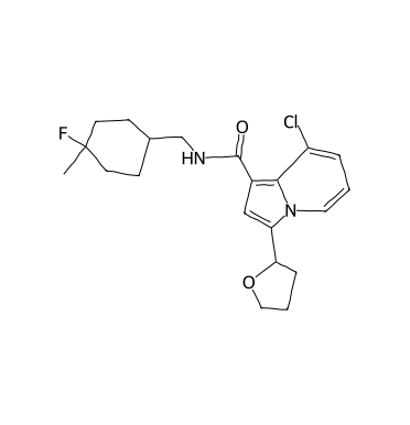 CC1(F)CCC(CNC(=O)c2cc(C3CCCO3)n3cccc(Cl)c23)CC1